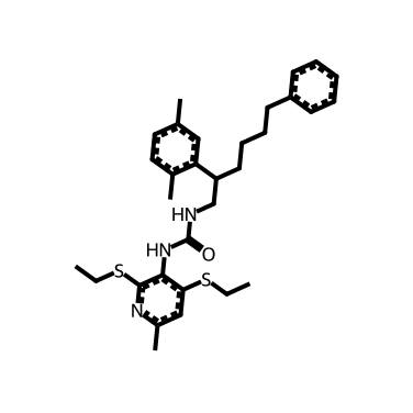 CCSc1cc(C)nc(SCC)c1NC(=O)NCC(CCCCc1ccccc1)c1cc(C)ccc1C